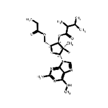 CCC(=O)OC[C@H]1O[C@@H](n2cnc3c(NC)nc(N)nc32)[C@](C)(F)[C@@H]1OC(=O)C(N)C(C)C